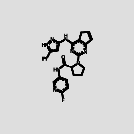 CC(C)c1cc(Nc2nc(N3CCC[C@H]3C(=O)Nc3ccc(F)nc3)nc3c2CC=C3)n[nH]1